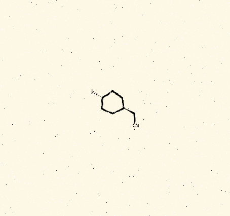 N#CC[C@H]1CC[C@H](I)CC1